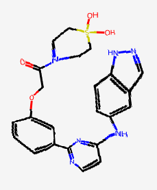 O=C(COc1cccc(-c2nccc(Nc3ccc4[nH]ncc4c3)n2)c1)N1CCS(O)(O)CC1